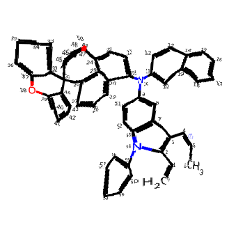 C=Cc1c(/C=C\C)c2cc(N(c3ccc4ccccc4c3)c3ccc4c5c(cccc35)C3(c5ccccc5Oc5ccccc53)c3ccccc3-4)ccc2n1-c1ccccc1